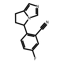 N#Cc1cc(F)ccc1C1CCc2cncn21